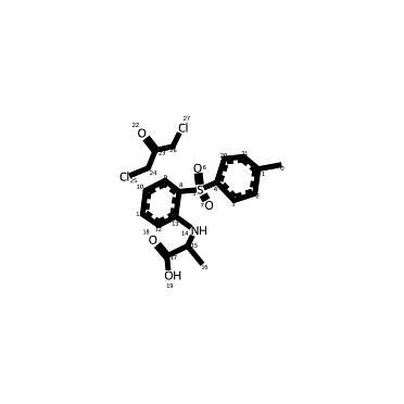 Cc1ccc(S(=O)(=O)c2ccccc2NC(C)C(=O)O)cc1.O=C(CCl)CCl